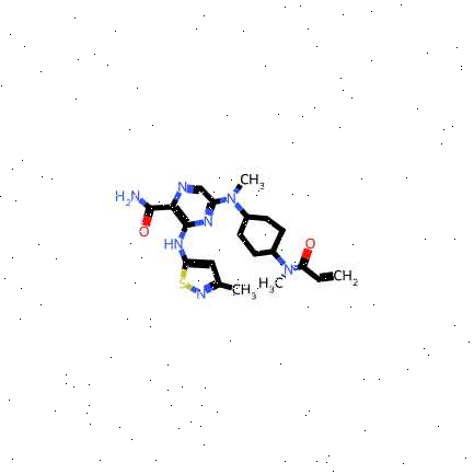 C=CC(=O)N(C)C1CCC(N(C)c2cnc(C(N)=O)c(Nc3cc(C)ns3)n2)CC1